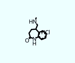 CNCC1CCC(=O)Nc2ccccc21.Cl